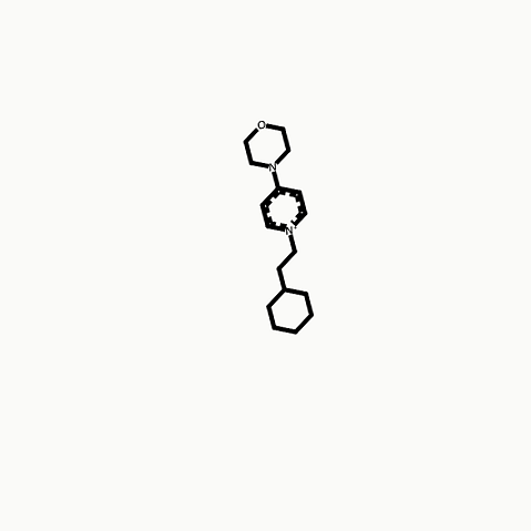 c1c[n+](CCC2CCCCC2)ccc1N1CCOCC1